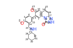 COc1ccc(-c2cc3c(cc2OC)c(C)cc2n[nH]c(=O)n23)cc1CNC1CCCCC1